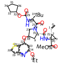 C=C[C@@H]1C[C@]1(NC(=O)[C@@H]1C[C@@H](Oc2cc(OCC)nc3ccsc23)CN1C(=O)[C@@H](NC(=O)OC1CCCC1)C(C)(C)C)C(=O)OC